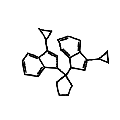 C1=C(C2CC2)c2ccccc2C1C1(C2C=C(C3CC3)c3ccccc32)CCCC1